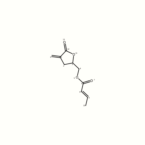 C=C1CC(COC(=O)/C=C/C)OC1=O